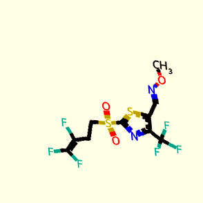 CON=Cc1sc(S(=O)(=O)CCC(F)=C(F)F)nc1C(F)(F)F